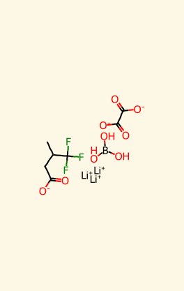 CC(CC(=O)[O-])C(F)(F)F.O=C([O-])C(=O)[O-].OB(O)O.[Li+].[Li+].[Li+]